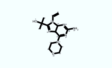 C=CN1C(C(C)(C)O)=NC2C(N3CCOCC3)=NC(N)=NC21